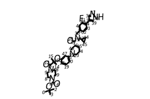 CC(C)(C)OC(=O)N1CCN(C(=O)C(C)(C)Oc2cccc(N3CCC[C@@H](C(=O)N(Cc4ccc(-c5cn[nH]c5)c(F)c4)C4CC4)C3)c2)CC1